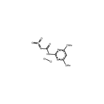 CCCl.COc1cc(SC)nc(NC(=O)N=S(=O)=O)n1